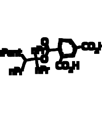 CCCCCC(CCC)C(CCC)(CCC)OC(=O)c1ccc(C(=O)O)cc1C(=O)O